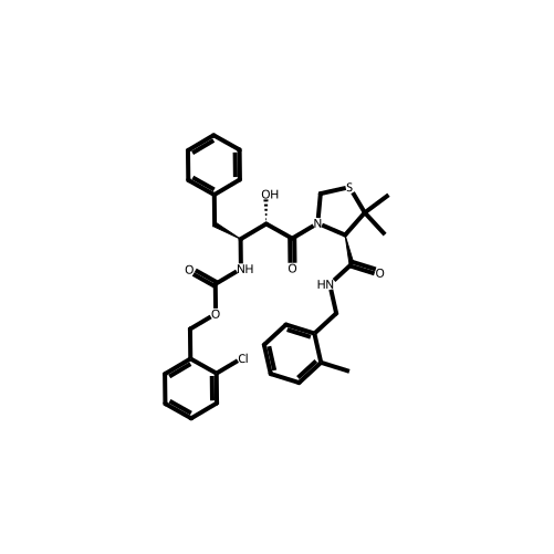 Cc1ccccc1CNC(=O)[C@H]1N(C(=O)[C@@H](O)[C@H](Cc2ccccc2)NC(=O)OCc2ccccc2Cl)CSC1(C)C